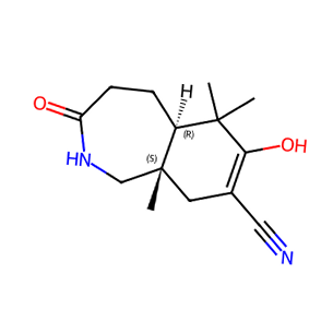 CC1(C)C(O)=C(C#N)C[C@]2(C)CNC(=O)CC[C@@H]12